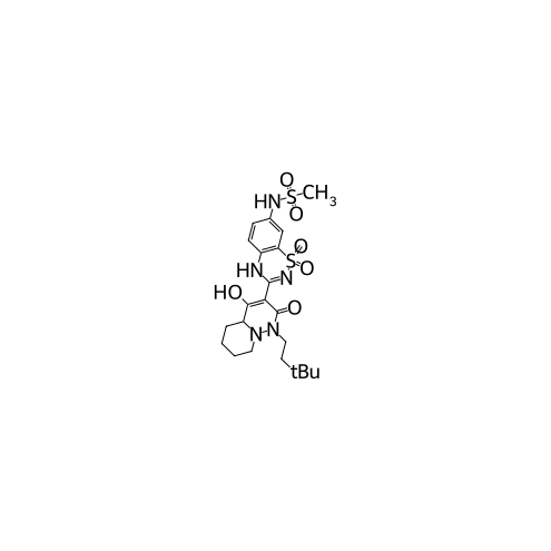 CC(C)(C)CCN1C(=O)C(C2=NS(=O)(=O)c3cc(NS(C)(=O)=O)ccc3N2)=C(O)C2CCCCN21